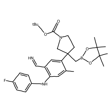 Cc1cc(Nc2ccc(F)cc2)c(C=N)cc1C1(CB2OC(C)(C)C(C)(C)O2)CCN(C(=O)OC(C)(C)C)C1